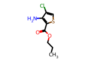 CCCOC(=O)c1scc(Cl)c1N